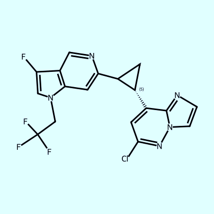 Fc1cn(CC(F)(F)F)c2cc(C3C[C@@H]3c3cc(Cl)nn4ccnc34)ncc12